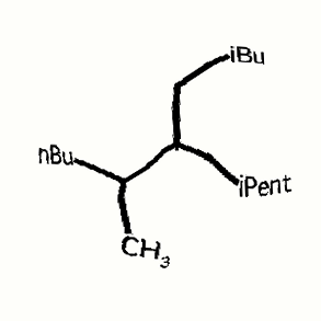 CCCCC(C)[C](CC(C)CC)C(C)CCC